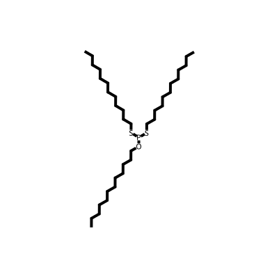 CCCCCCCCCCCCOP(SCCCCCCCCCCCC)SCCCCCCCCCCCC